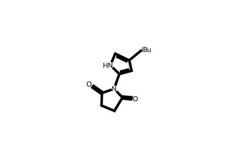 CCC(C)c1c[nH]c(N2C(=O)CCC2=O)c1